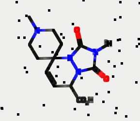 [3H]n1c(=O)n2n(c1=O)C1(C=CC2C(=O)O)CCN(C)CC1